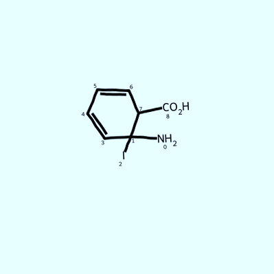 NC1(I)C=CC=CC1C(=O)O